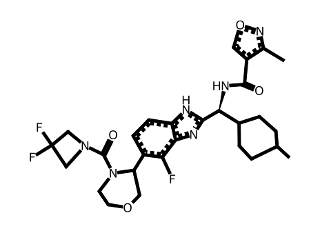 Cc1nocc1C(=O)N[C@H](c1nc2c(F)c(C3COCCN3C(=O)N3CC(F)(F)C3)ccc2[nH]1)C1CCC(C)CC1